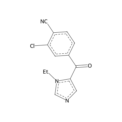 CCn1cncc1C(=O)c1ccc(C#N)c(Cl)c1